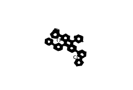 c1ccc(-c2cccc(-c3c4ccc(-c5cccc6c5oc5ccccc56)cc4c(-c4ccccc4)c4ccc5c6ccccc6oc5c34)c2)cc1